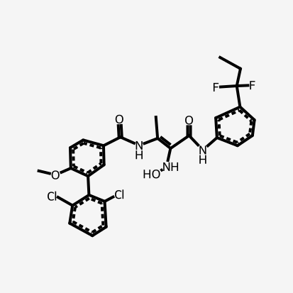 CCC(F)(F)c1cccc(NC(=O)/C(NO)=C(\C)NC(=O)c2ccc(OC)c(-c3c(Cl)cccc3Cl)c2)c1